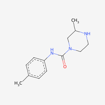 Cc1ccc(NC(=O)N2CCNC(C)C2)cc1